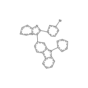 Brc1cccc(-c2nc3ccccn3c2-c2ccc3c4ccccc4n(-c4ccccc4)c3c2)c1